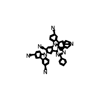 N#Cc1ccc2c(c1)c1cc(C#N)ccc1n2-c1cc(-c2nc(-c3ccccc3)nc(-c3ccccc3)n2)c(-n2c3ccc(C#N)cc3c3cc(C#N)ccc32)cc1C#N